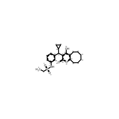 CCS(=O)(=O)Nc1cccc(C(c2c(O)c3c(oc2=O)CCCCCC3)C2CC2)c1